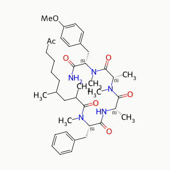 COc1ccc(C[C@@H](C(N)=O)N(C)C(=O)[C@H](C)N(C)C(=O)[C@H](C)NC(=O)[C@H](Cc2ccccc2)N(C)C(=O)C(C)CC(C)CCCCC(C)=O)cc1